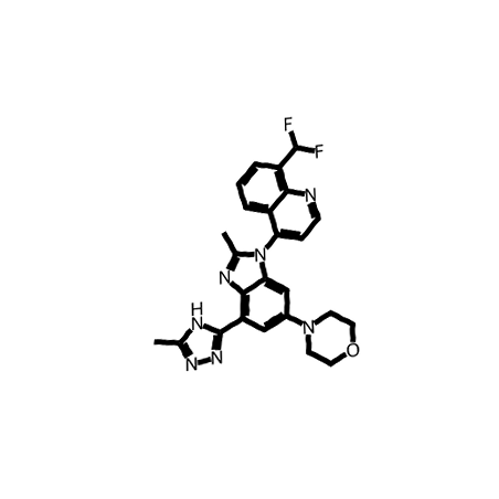 Cc1nnc(-c2cc(N3CCOCC3)cc3c2nc(C)n3-c2ccnc3c(C(F)F)cccc23)[nH]1